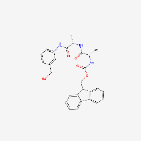 CC(C)[C@H](NC(=O)OCC1c2ccccc2-c2ccccc21)C(=O)N[C@@H](C)C(=O)Nc1cccc(CO)c1